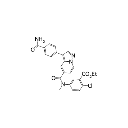 CCOC(=O)c1cc(N(C)C(=O)c2ccn3ncc(-c4ccc(C(N)=O)cc4)c3c2)ccc1Cl